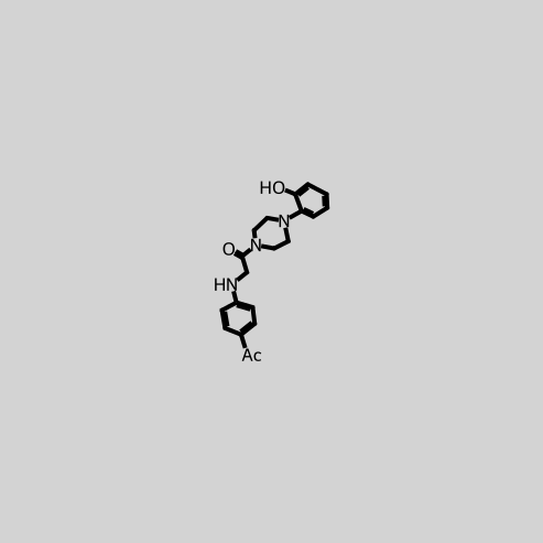 CC(=O)c1ccc(NCC(=O)N2CCN(c3ccccc3O)CC2)cc1